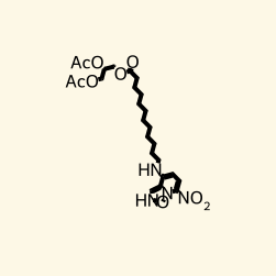 CC(=O)OCC(COC(=O)CCCCCCCCCCCNC1=CC=C([N+](=O)[O-])N2ONC=C12)OC(C)=O